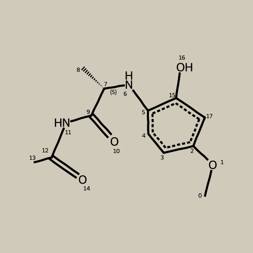 COc1ccc(N[C@@H](C)C(=O)NC(C)=O)c(O)c1